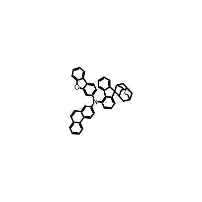 c1ccc2c(c1)-c1c(N(c3ccc4c(ccc5ccccc54)c3)c3ccc4c(c3)oc3ccccc34)cccc1C21C2CCC3CC(C2)CC1C3